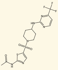 CC(=O)Nc1ncc(S(=O)(=O)N2CCC(Nc3nccc(C(F)(F)F)n3)CC2)s1